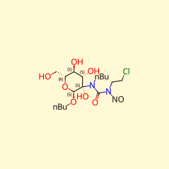 CCCCO[C@H]1O[C@H](CO)[C@@H](O)[C@H](O)[C@@]1(O)N(CCCC)C(=O)N(CCCl)N=O